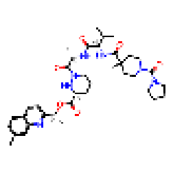 Cc1ccc2ccc([C@@H](C)OC(=O)[C@@H]3CCCN(C(=O)[C@H](C)NC(=O)[C@@H](NC(=O)C4(C)CCN(C(=O)N5CCCC5)CC4)C(C)C)N3)nc2c1